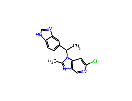 Cc1nc2cnc(Cl)cc2n1C(C)c1ccc2[nH]cnc2c1